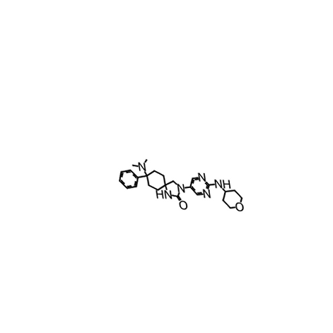 CN(C)C1(c2ccccc2)CCC2(CC1)CN(c1cnc(NC3CCOCC3)nc1)C(=O)N2